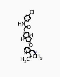 C=Cc1nccc(O[C@@H]2C[C@H]3C[C@@H](CC(=O)Nc4ccc(Cl)cc4)C[C@H]3C2)c1/C=C\C